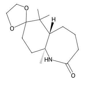 CC1(C)[C@@H]2CCCC(=O)N[C@@]2(C)CCC12OCCO2